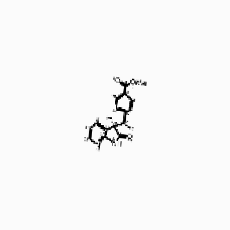 COC(=O)c1ccc([C@@H](C)[C@@]2(C)C(=O)Nc3ncccc32)cc1